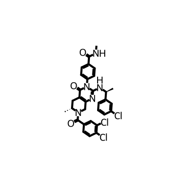 CNC(=O)c1ccc(-n2c(N[C@@H](C)c3cccc(Cl)c3)nc3c(c2=O)C[C@@H](C)N(C(=O)c2ccc(Cl)c(Cl)c2)C3)cc1